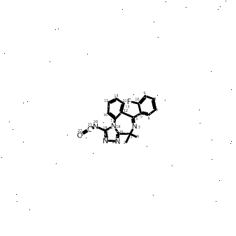 CC1(C)N=C(c2ccccc2F)c2c[c]ccc2-n2c(N=C=O)nnc21